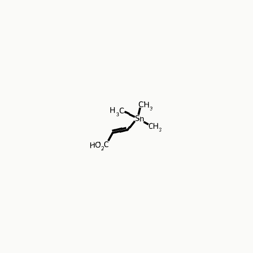 [CH3][Sn]([CH3])([CH3])[CH]=CC(=O)O